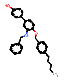 CCCCCc1ccc(COc2ccc(-c3ccc(O)cc3)cc2NCc2ccccc2)cc1